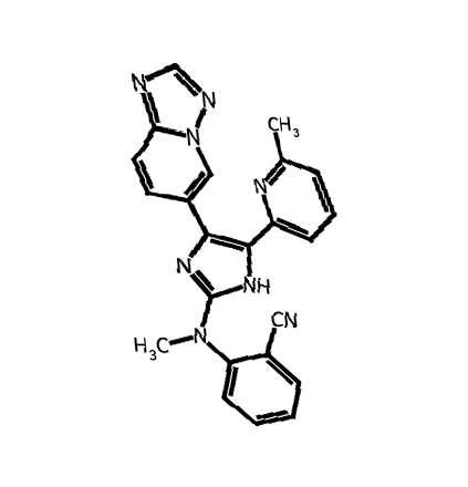 Cc1cccc(-c2[nH]c(N(C)c3ccccc3C#N)nc2-c2ccc3ncnn3c2)n1